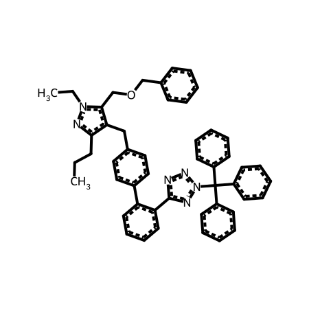 CCCc1nn(CC)c(COCc2ccccc2)c1Cc1ccc(-c2ccccc2-c2nnn(C(c3ccccc3)(c3ccccc3)c3ccccc3)n2)cc1